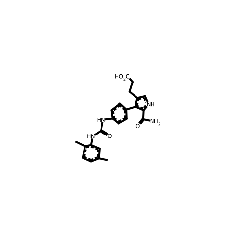 Cc1ccc(C)c(NC(=O)Nc2ccc(-c3c(CCC(=O)O)c[nH]c3C(N)=O)cc2)c1